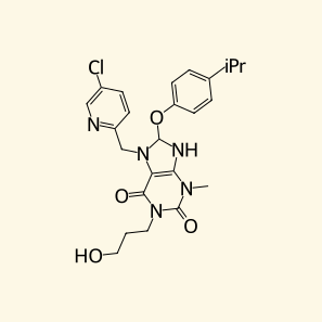 CC(C)c1ccc(OC2Nc3c(c(=O)n(CCCO)c(=O)n3C)N2Cc2ccc(Cl)cn2)cc1